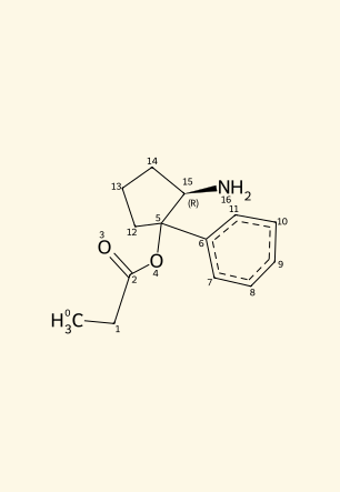 CCC(=O)OC1(c2ccccc2)CCC[C@H]1N